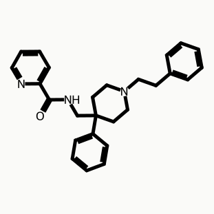 O=C(NCC1(c2ccccc2)CCN(CCc2ccccc2)CC1)c1ccccn1